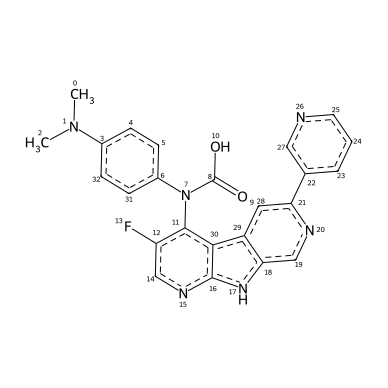 CN(C)c1ccc(N(C(=O)O)c2c(F)cnc3[nH]c4cnc(-c5cccnc5)cc4c23)cc1